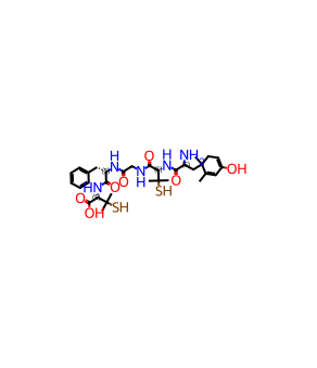 CC1=CC(O)=CCC1(C)C[C@H](N)C(=O)N[C@@H](C(=O)NCC(=O)N[C@@H](Cc1ccccc1)C(=O)N[C@@H](C(=O)O)C(C)(C)S)C(C)(C)S